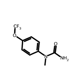 CN(C(N)=O)c1ccc(OC(F)(F)F)cc1